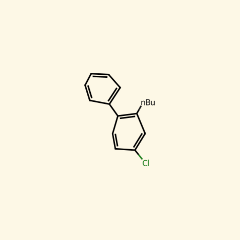 CCCCc1cc(Cl)ccc1-c1ccccc1